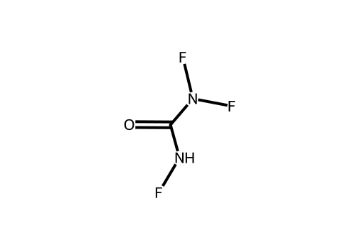 O=C(NF)N(F)F